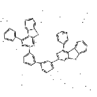 c1ccc(-c2nc(-c3cccc(-c4cccc(-c5nc(-c6ccccc6)c6c(n5)sc5ccccc56)c4)c3)nc3sc4ccccc4c23)cc1